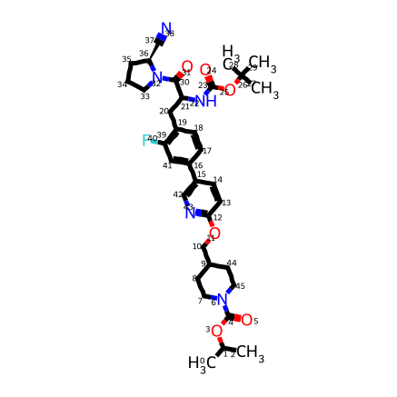 CC(C)OC(=O)N1CCC(COc2ccc(-c3ccc(CC(NC(=O)OC(C)(C)C)C(=O)N4CCC[C@H]4C#N)c(F)c3)cn2)CC1